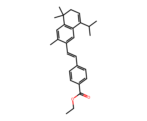 CCOC(=O)c1ccc(C=Cc2cc3c(cc2C)C(C)(C)CC=C3C(C)C)cc1